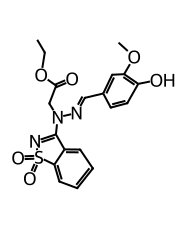 CCOC(=O)CN(/N=C/c1ccc(O)c(OC)c1)C1=NS(=O)(=O)c2ccccc21